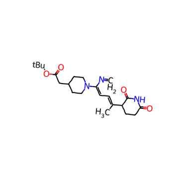 C=N/C(=C\C=C(/C)C1CCC(=O)NC1=O)N1CCC(CC(=O)OC(C)(C)C)CC1